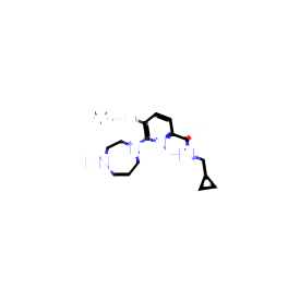 COc1ccc(C(=O)NCC2CC2)nc1N1CCCNCC1